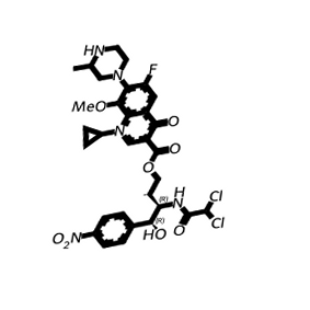 COc1c(N2CCNC(C)C2)c(F)cc2c(=O)c(C(=O)OC[CH][C@@H](NC(=O)C(Cl)Cl)[C@H](O)c3ccc([N+](=O)[O-])cc3)cn(C3CC3)c12